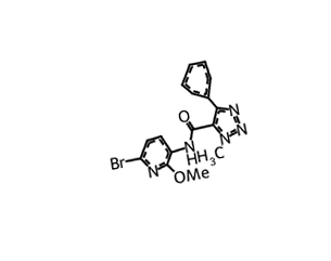 COc1nc(Br)ccc1NC(=O)c1c(-c2ccccc2)nnn1C